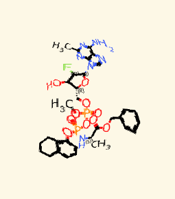 COP(=O)(OC[C@H]1O[C@@H](n2cnc3c(N)nc(C)nc32)[C@H](F)C1O)OP(=O)(N[C@@H](C)C(=O)OCc1ccccc1)Oc1cccc2c1CCCC2